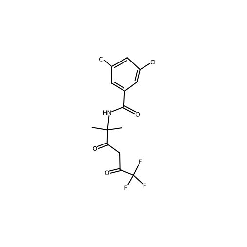 CC(C)(NC(=O)c1cc(Cl)cc(Cl)c1)C(=O)CC(=O)C(F)(F)F